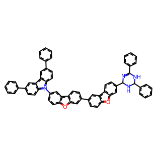 c1ccc(C2=NC(c3ccc4c(c3)oc3ccc(-c5ccc6c(c5)oc5ccc(-n7c8ccc(-c9ccccc9)cc8c8cc(-c9ccccc9)ccc87)cc56)cc34)NC(c3ccccc3)N2)cc1